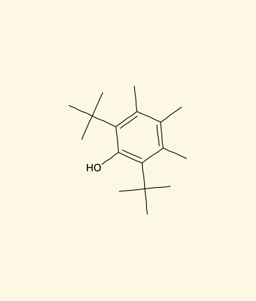 Cc1c(C)c(C(C)(C)C)c(O)c(C(C)(C)C)c1C